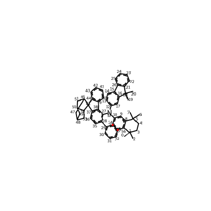 CC1(C)CCC(C)(C)c2cc(N(c3ccc4c(c3)C(C)(C)c3ccccc3-4)c3c(-c4ccccc4)ccc4c3-c3ccccc3C43C4CC5CC(C4)C3C5)ccc21